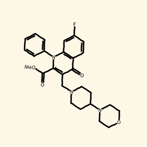 COC(=O)c1c(CN2CCC(N3CCOCC3)CC2)c(=O)c2ccc(F)cc2n1-c1ccccc1